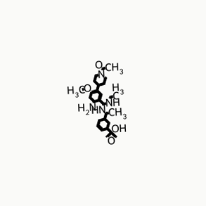 CCNC(NC(C)C1CC=CC(C2(O)COC2)C1)C1=CC(C2CCN(C(C)=O)CC2)=C(OC)CC1N